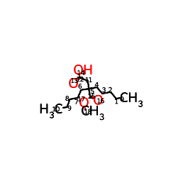 CCCCCC(CCCCC)(CC(=O)O)C(=O)OC